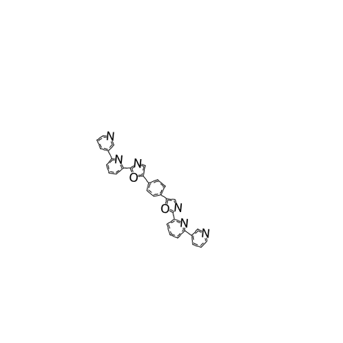 c1cncc(-c2cccc(-c3ncc(-c4ccc(-c5cnc(-c6cccc(-c7cccnc7)n6)o5)cc4)o3)n2)c1